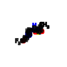 Cc1ccc(N2C(=O)CS/C2=N\C(=O)N/N=C/c2cccc(-c3ncn(-c4ccc(OC(F)(F)F)cc4)n3)c2)c(C(C)C)c1